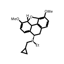 CCN(CC1CC1)[C@@H]1Cc2ccc(OC)c3c2C2C1=CC=C(OC)[C@@H]2O3